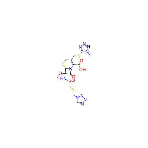 CO[C@]1(NC(=O)CSCn2cnnn2)C(=O)N2C(C(=O)O)=C(CSc3nnnn3C)CSC21